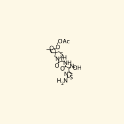 CC=CC1(C(=O)OCOC(C)=O)CS[C@@H]2C(NC(=O)C(=NO)c3csc(N)n3)C(=O)N2C1